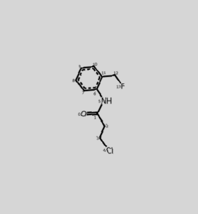 O=C(CCCl)Nc1ccccc1CF